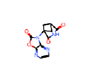 O=C1NC(=O)C2(n3c(=O)oc4nccnc43)CC1C2